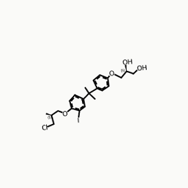 C[C@H](CCl)COc1ccc(C(C)(C)c2ccc(OC[C@@H](O)CO)cc2)cc1I